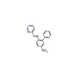 O=[N+]([O-])c1ccc(/N=C/c2ccccn2)c(-c2ccccc2)c1